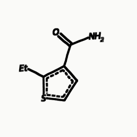 CCc1sccc1C(N)=O